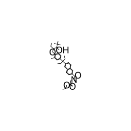 CCOC(=O)CN(C)C(=O)c1ccc2cc(C(CC)(CC)c3ccc(OC(CC)C(O)C(C)(C)C)c(C)c3)ccc2c1